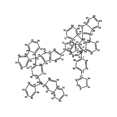 c1ccc(-c2ccc(N(c3cccc(-c4ccc5c6c(sc5c4)C4(c5ccccc5-c5ccccc54)c4ccc(N(c5ccccc5)c5ccc7ccccc7c5)cc4-6)c3)c3cccc4c3C3(c5ccccc5-c5ccccc53)c3sc5ccccc5c3-4)cc2)cc1